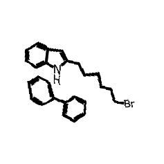 BrCCCCCCc1cc2ccccc2[nH]1.c1ccc(-c2ccccc2)cc1